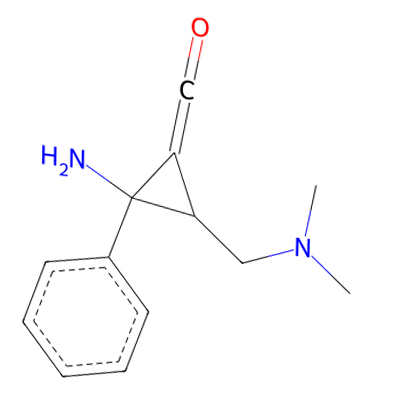 CN(C)CC1C(=C=O)C1(N)c1ccccc1